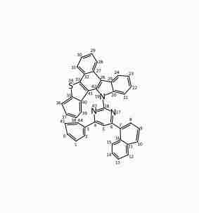 c1ccc(-c2cc(-c3cccc4ccccc34)nc(-n3c4ccccc4c4c5ccccc5c5sc6ccccc6c5c43)n2)cc1